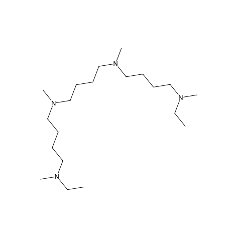 CCN(C)CCCCN(C)CCCCN(C)CCCCN(C)CC